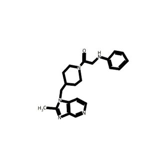 Cc1nc2cnccc2n1CC1CCN(C(=O)CNc2ccccc2)CC1